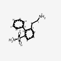 NCCc1cccc(S(N)(=O)=O)c1-c1ccccc1